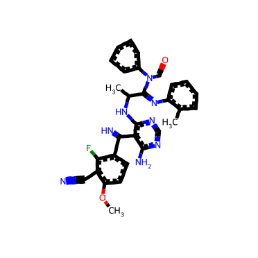 COc1ccc(C(=N)c2c(N)ncnc2NC(C)/C(=N/c2ccccc2C)N(C=O)c2ccccc2)c(F)c1C#N